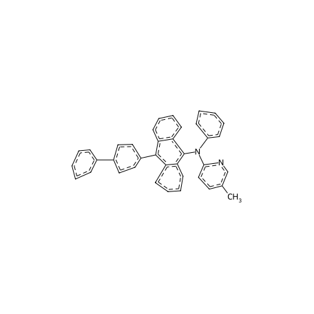 Cc1ccc(N(c2ccccc2)c2c3ccccc3c(-c3ccc(-c4ccccc4)cc3)c3ccccc23)nc1